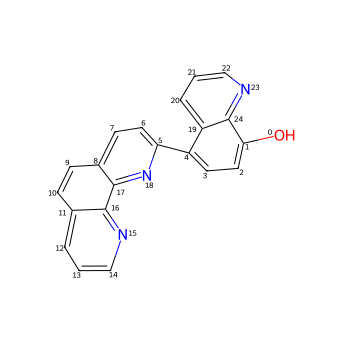 Oc1ccc(-c2ccc3ccc4cccnc4c3n2)c2cccnc12